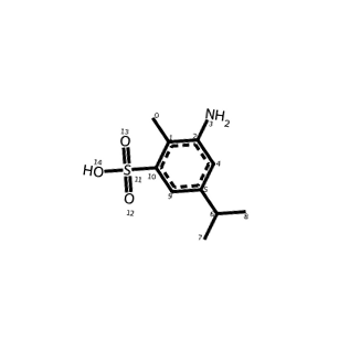 Cc1c(N)cc(C(C)C)cc1S(=O)(=O)O